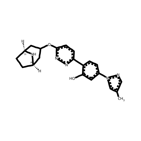 Cc1cnn(-c2ccc(-c3ccc(OC4C[C@H]5CC[C@@H](C4)N5)nn3)c(O)c2)c1